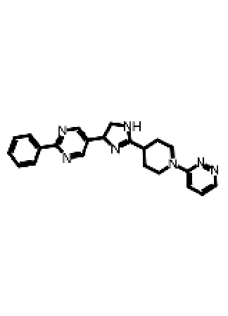 c1ccc(-c2ncc(C3CNC(C4CCN(c5cccnn5)CC4)=N3)cn2)cc1